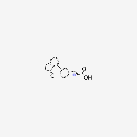 O=C(O)/C=C/c1cccc(-c2cccc3c2C(=O)CC3)c1